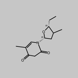 CC[C@H]1O[C@@H](N2C=C(C)C(=O)CC2=O)CC1C